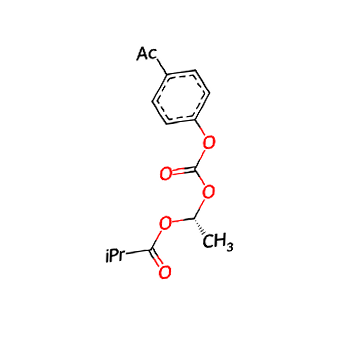 CC(=O)c1ccc(OC(=O)O[C@H](C)OC(=O)C(C)C)cc1